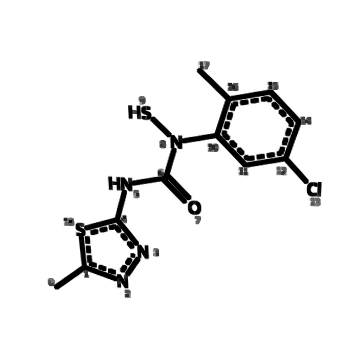 Cc1nnc(NC(=O)N(S)c2cc(Cl)ccc2C)s1